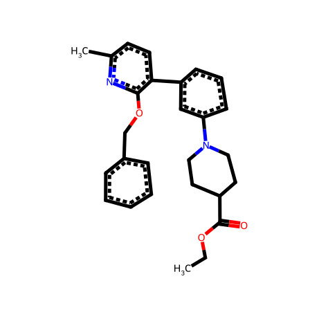 CCOC(=O)C1CCN(c2cccc(-c3ccc(C)nc3OCc3ccccc3)c2)CC1